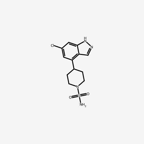 NS(=O)(=O)N1CCC(c2cc(Cl)cc3[nH]ncc23)CC1